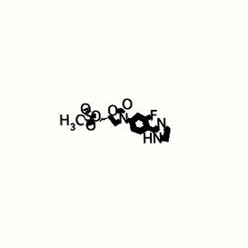 CS(=O)(=O)OC[C@H]1CN(c2ccc(-c3ncc[nH]3)c(F)c2)C(=O)O1